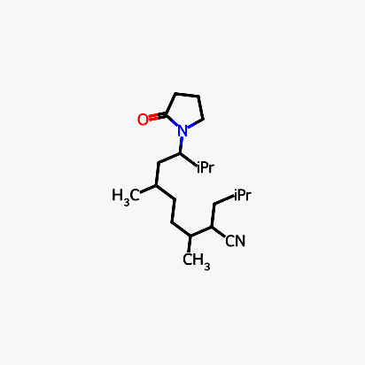 CC(C)CC(C#N)C(C)CCC(C)CC(C(C)C)N1CCCC1=O